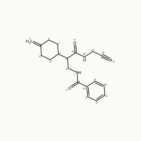 C=C1CCC(C(CNC(=O)c2ccccc2)C(=O)NCC#N)CC1